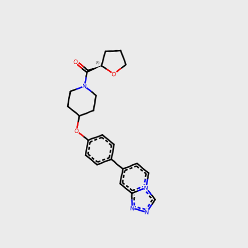 O=C([C@H]1CCCO1)N1CCC(Oc2ccc(-c3ccn4cnnc4c3)cc2)CC1